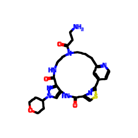 NCCC(=O)N1CCCc2cc(ccn2)-c2nc(cs2)C(=O)Nc2cn(C3CCOCC3)nc2C(=O)NCC1